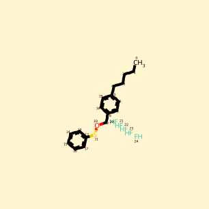 CCCCCc1ccc(COSc2ccccc2)cc1.F.F.F.F.F